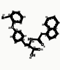 O=C(Cc1cccc2ccccc12)N/C(=C\c1ccc(Oc2ccccc2Br)cc1)C(=O)O